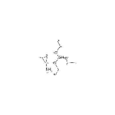 CCO[SiH](OCC)OCC.NC1CC1